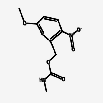 CNC(=O)OCc1cc(OC)ccc1[N+](=O)[O-]